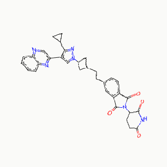 O=C1CCC(N2C(=O)c3ccc(CCC4CC(n5cc(-c6cnc7ccccc7n6)c(C6CC6)n5)C4)cc3C2=O)C(=O)N1